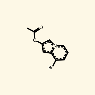 CC(=O)Oc1cc2c(Br)cccn2c1